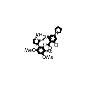 COc1cc(OC)c([C@H]2CCN(C)[C@@H]2COC(C)=O)c(OC(=O)c2ccc(N3CCCC3)cc2Cl)c1C(C)=O